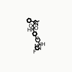 Cc1cc(-c2ccccc2)c(C(=O)C(=O)Nc2ccc(N3CCC(Nc4ncc(F)cn4)CC3)cc2)n1C